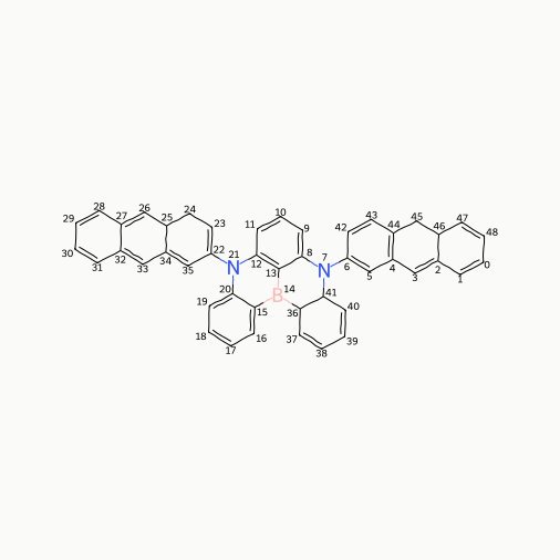 C1=CC2=Cc3cc(N4c5cccc6c5B(c5ccccc5N6C5=CCC6C=c7ccccc7=CC6=C5)C5C=CC=CC54)ccc3CC2C=C1